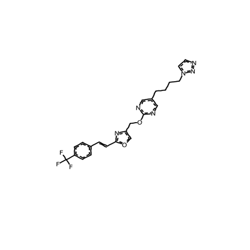 FC(F)(F)c1ccc(C=Cc2nc(COc3ncc(CCCCn4ccnn4)cn3)co2)cc1